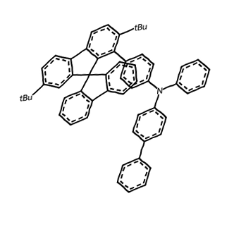 CC(C)(C)c1ccc2c(c1)C1(c3ccccc3-c3ccccc31)c1c-2ccc(C(C)(C)C)c1-c1ccc(N(c2ccccc2)c2ccc(-c3ccccc3)cc2)cc1